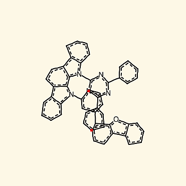 c1ccc(-c2nc(-c3ccccc3)nc(-n3c4ccccc4c4ccc5c6ccccc6n(-c6cccc(-c7cccc8c7oc7ccccc78)c6)c5c43)n2)cc1